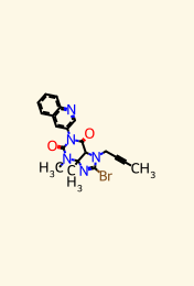 CC#CCN1C(Br)=NC2(C)C1C(=O)N(c1cnc3ccccc3c1)C(=O)N2C